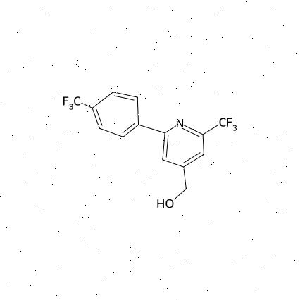 OCc1cc(-c2ccc(C(F)(F)F)cc2)nc(C(F)(F)F)c1